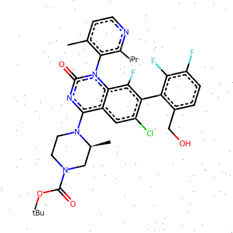 Cc1ccnc(C(C)C)c1-n1c(=O)nc(N2CCN(C(=O)OC(C)(C)C)C[C@@H]2C)c2cc(Cl)c(-c3c(CO)ccc(F)c3F)c(F)c21